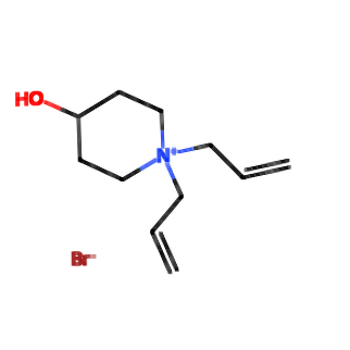 C=CC[N+]1(CC=C)CCC(O)CC1.[Br-]